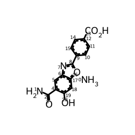 N.NC(=O)c1cc2nc(-c3ccc(C(=O)O)cc3)oc2cc1O